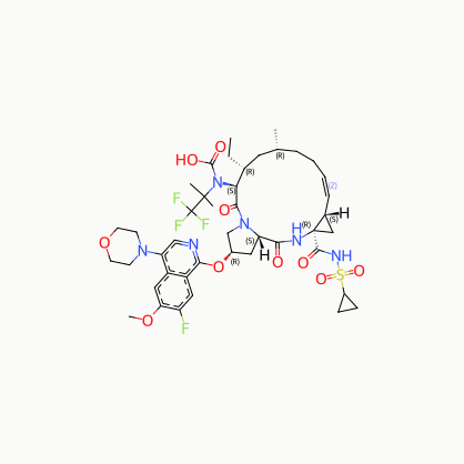 CC[C@@H]1C[C@H](C)CC/C=C\[C@@H]2C[C@@]2(C(=O)NS(=O)(=O)C2CC2)NC(=O)[C@@H]2C[C@@H](Oc3ncc(N4CCOCC4)c4cc(OC)c(F)cc34)CN2C(=O)[C@H]1N(C(=O)O)C(C)(C)C(F)(F)F